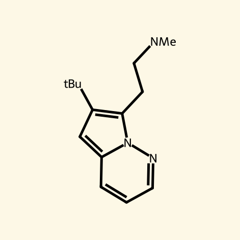 CNCCc1c(C(C)(C)C)cc2cccnn12